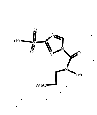 CCCN(CCOC)C(=O)n1cnc(S(=O)(=O)CCC)n1